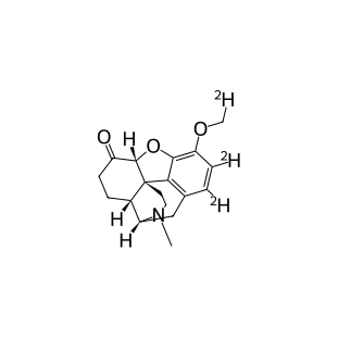 [2H]COc1c([2H])c([2H])c2c3c1O[C@H]1C(=O)CC[C@H]4[C@@H](C2)N(C)CC[C@]314